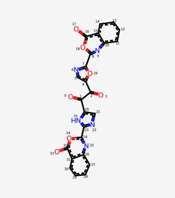 O=C(C(=O)c1cnc(-c2nc3ccccc3c(=O)o2)o1)c1cnc(-c2nc3ccccc3c(=O)o2)[nH]1